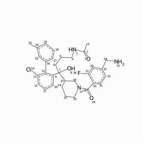 CC(=O)NCCCC(O)(c1cccc(Cl)c1-c1cccc(C)c1)C1CCCN(C(=O)c2ccc(CN)cc2F)C1